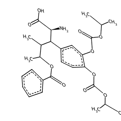 CC(C)OC(=O)Oc1ccc(C(C(C)C(C)OC(=O)c2ccccc2)[C@H](N)C(=O)O)cc1OC(=O)OC(C)C